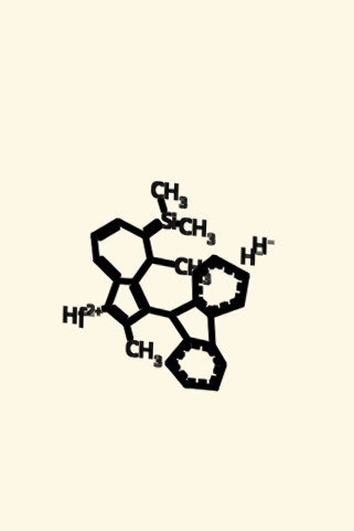 CC1=[C]([Hf+2])C2=CC=CC(=[Si](C)C)C(C)C2=C1C1c2ccccc2-c2ccccc21.[H-].[H-]